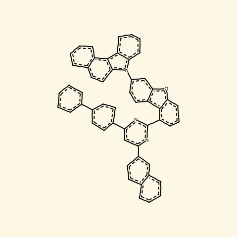 c1ccc(-c2ccc(-c3cc(-c4ccc5ccccc5c4)nc(-c4cccc5oc6cc(-n7c8ccccc8c8c9ccccc9ccc87)ccc6c45)n3)cc2)cc1